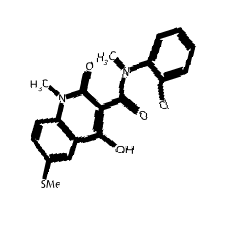 CSc1ccc2c(c1)c(O)c(C(=O)N(C)c1ccccc1Cl)c(=O)n2C